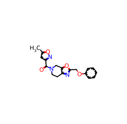 Cc1cc(C(=O)N2CCc3nc(COc4ccccc4)oc3C2)no1